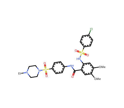 CCN1CCN(S(=O)(=O)c2ccc(NC(=O)c3cc(OC)c(OC)cc3NS(=O)(=O)c3ccc(Cl)cc3)cc2)CC1